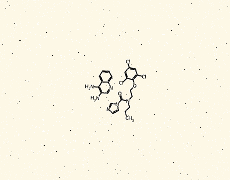 CCCN(CCOc1c(Cl)cc(Cl)cc1Cl)C(=O)n1ccnc1.Nc1cnc2ccccc2c1N